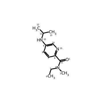 CCN(C)C(=O)c1ccc(NC(C)C)cn1